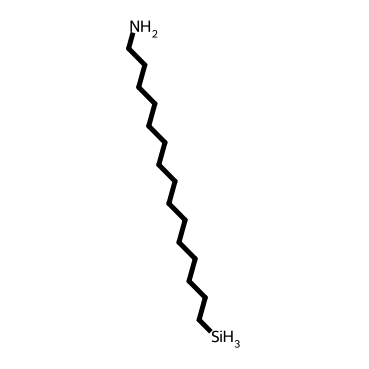 NCCCCCCCCCCCCCCC[SiH3]